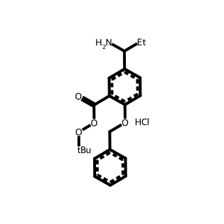 CCC(N)c1ccc(OCc2ccccc2)c(C(=O)OOC(C)(C)C)c1.Cl